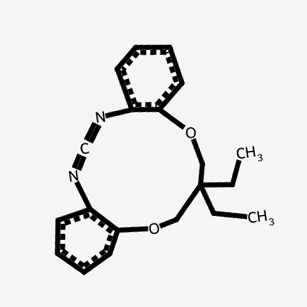 CCC1(CC)COc2ccccc2N=C=Nc2ccccc2OC1